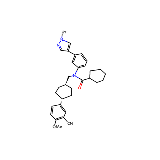 COc1ccc([C@H]2CC[C@H](CN(C(=O)C3CCCCC3)c3cccc(-c4cnn(C(C)C)c4)c3)CC2)cc1C#N